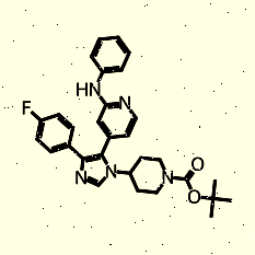 CC(C)(C)OC(=O)N1CCC(n2cnc(-c3ccc(F)cc3)c2-c2ccnc(Nc3ccccc3)c2)CC1